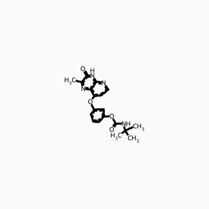 Cc1nc2c(Oc3cccc(OC(=O)NC(C)(C)C)c3)ccnc2[nH]c1=O